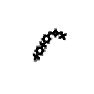 CC(C)(C)OC1CC(OC2CCN(C(C)(C)C3CCN(C(C)(C)C)CC3)CC2)C1